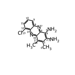 Cc1c(N)c(N)c2nc3cccc(Cl)c3nc2c1C